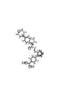 O=C(CSc1nnnn1-c1ccc(C(O)O)cc1)N1CCc2cc(N3CCOCC3)ccc21